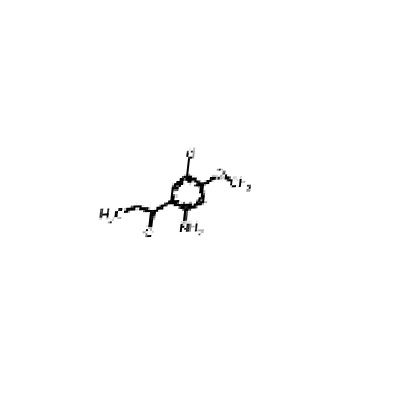 CCC(=O)c1cc(Cl)c(OC)cc1N